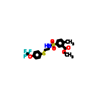 COC(=O)c1cc(S(=O)(=O)NCCSc2ccc(OC(F)(F)F)cc2)ccc1C